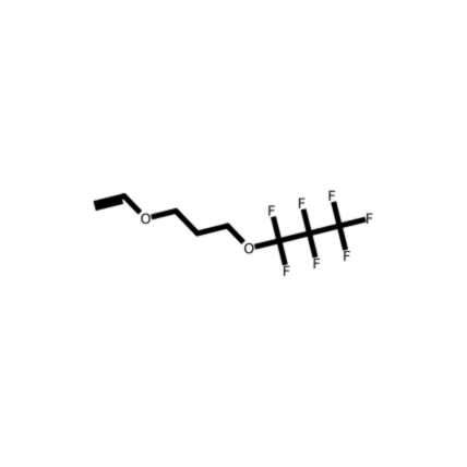 C=COCCCOC(F)(F)C(F)(F)C(F)(F)F